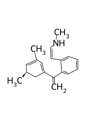 C=C(C1=CC(C)=C[C@H](C)C1)c1ccccc1/C=C\NC